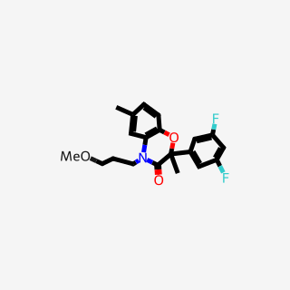 COCCCN1C(=O)C(C)(c2cc(F)cc(F)c2)Oc2ccc(C)cc21